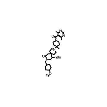 CCCCC1CN(CC2CCC(OCC)CC2)C(=O)CC12CCN(C1(C)CCN(C(=O)c3c(C)ncnc3C)CC1)CC2